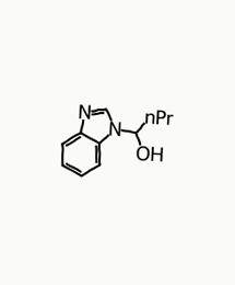 CCCC(O)n1cnc2ccccc21